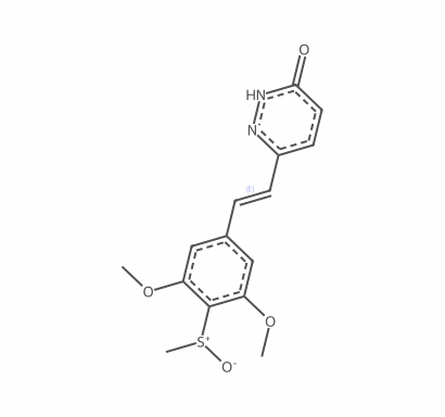 COc1cc(/C=C/c2ccc(=O)[nH]n2)cc(OC)c1[S+](C)[O-]